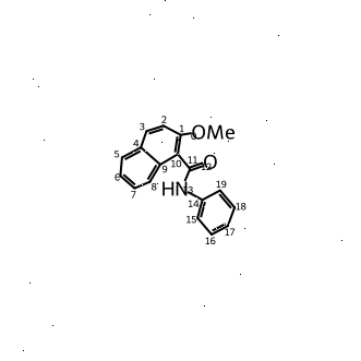 COc1ccc2ccccc2c1C(=O)Nc1ccccc1